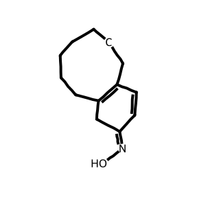 ON=C1C=CC2=C(CCCCCCC2)C1